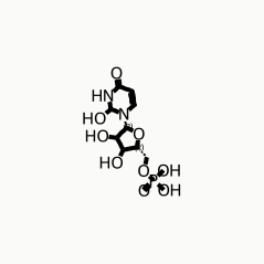 O=C1C=CN([C@@H]2O[C@H](COP(=O)(O)O)C(O)C2O)C(O)N1